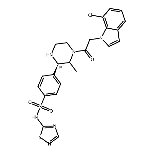 CC1[C@@H](c2ccc(S(=O)(=O)Nc3ncns3)cc2)NCCN1C(=O)Cn1ccc2cccc(Cl)c21